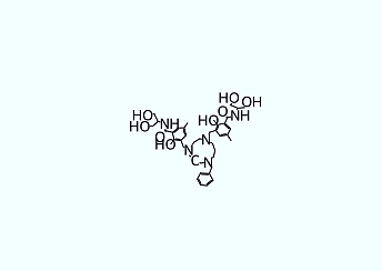 Cc1cc(CN2CCCN(Cc3ccccc3)CCCN(Cc3cc(C)cc(C(=O)NC(CO)CO)c3O)CC2)c(O)c(C(=O)NC(CO)CO)c1